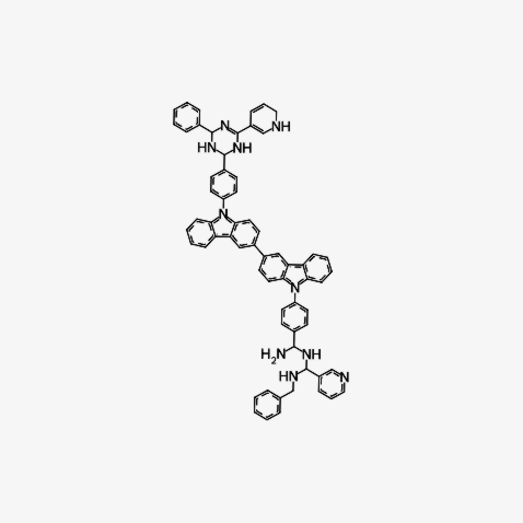 NC(NC(NCc1ccccc1)c1cccnc1)c1ccc(-n2c3ccccc3c3cc(-c4ccc5c(c4)c4ccccc4n5-c4ccc(C5NC(C6=CNCC=C6)=NC(c6ccccc6)N5)cc4)ccc32)cc1